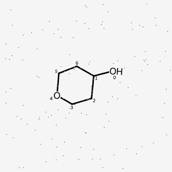 OC1C[CH]OCC1